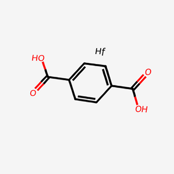 O=C(O)c1ccc(C(=O)O)cc1.[Hf]